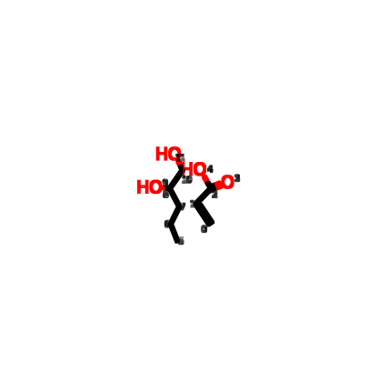 C=CC(=O)O.CCCC(O)CO